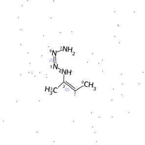 C/C=C(/C)N/N=N\N